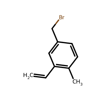 C=Cc1cc(CBr)ccc1C